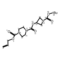 C=CCOC(=O)N1CCN(C(=O)OC2CN(C(=O)OC(C)(C)C)C2)CC1